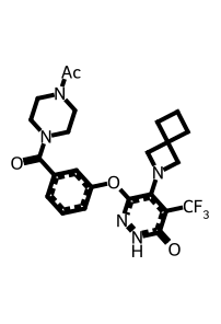 CC(=O)N1CCN(C(=O)c2cccc(Oc3n[nH]c(=O)c(C(F)(F)F)c3N3CC4(CCC4)C3)c2)CC1